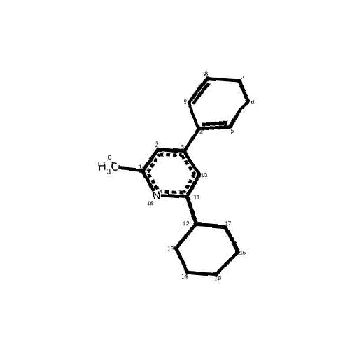 Cc1cc(C2=CCCC=C2)cc(C2CCCCC2)n1